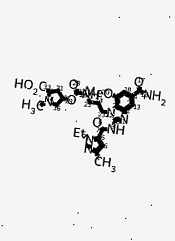 CCn1nc(C)cc1C(=O)Nc1nc2cc(C(N)=O)cc(OC)c2n1CCCNC(=O)OC1CC(C(=O)O)N(C)C1